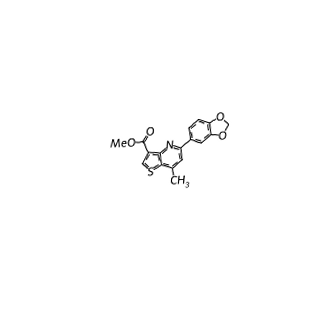 COC(=O)c1csc2c(C)cc(-c3ccc4c(c3)OCO4)nc12